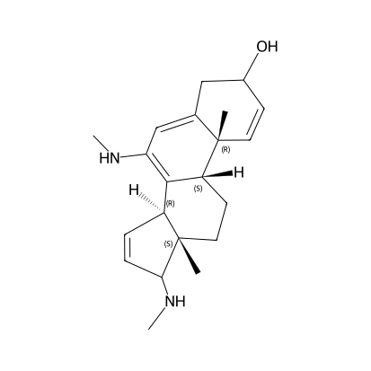 CNC1=C2[C@@H](CC[C@]3(C)C(NC)C=C[C@@H]23)[C@@]2(C)C=CC(O)CC2=C1